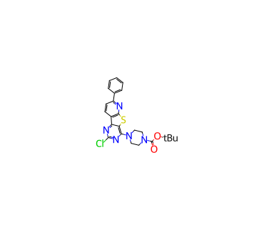 CC(C)(C)OC(=O)N1CCN(c2nc(Cl)nc3c2sc2nc(-c4ccccc4)ccc23)CC1